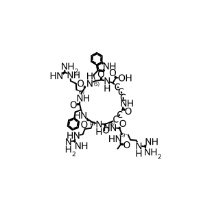 CC(=O)N[C@@H](CCCNC(=N)N)C(=O)N[C@H]1CCC(=O)NCCCC(C(=O)O)NC(=O)[C@H](Cc2c[nH]c3ccccc23)NC(=O)[C@H](CCCNC(=N)N)NC(=O)C(Cc2ccccc2)NC(=O)[C@H](CCCNC(=N)N)NC1=O